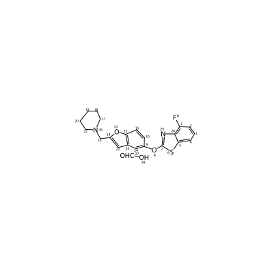 Fc1cccc2sc(Oc3ccc4oc(CN5CCCCC5)cc4c3)nc12.O=CO